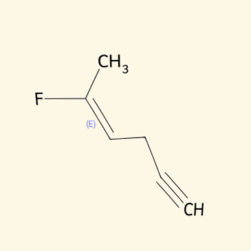 C#CC/C=C(\C)F